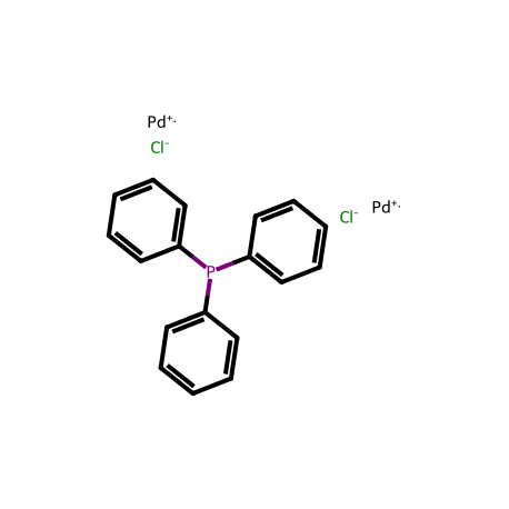 [Cl-].[Cl-].[Pd+].[Pd+].c1ccc(P(c2ccccc2)c2ccccc2)cc1